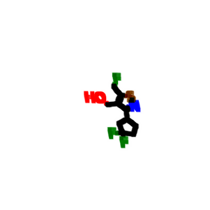 OCc1c(C2CCC(F)(F)C2)nsc1CF